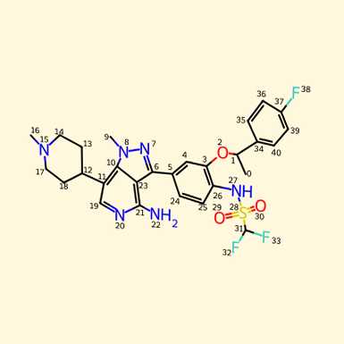 CC(Oc1cc(-c2nn(C)c3c(C4CCN(C)CC4)cnc(N)c23)ccc1NS(=O)(=O)C(F)F)c1ccc(F)cc1